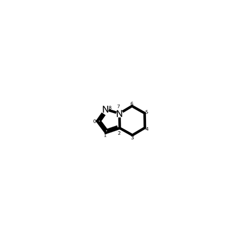 C1=C=C2CCCCN2N=1